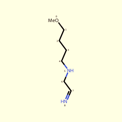 COCCCCNCC=N